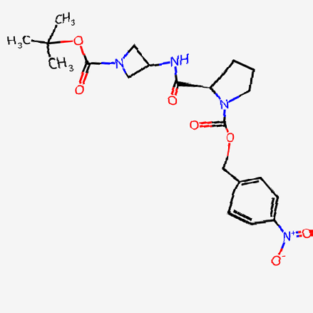 CC(C)(C)OC(=O)N1CC(NC(=O)[C@H]2CCCN2C(=O)OCc2ccc([N+](=O)[O-])cc2)C1